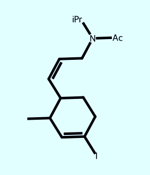 CC(=O)N(C/C=C\C1CCC(I)=CC1C)C(C)C